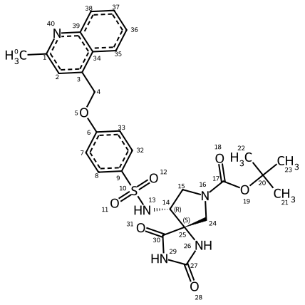 Cc1cc(COc2ccc(S(=O)(=O)N[C@@H]3CN(C(=O)OC(C)(C)C)C[C@]34NC(=O)NC4=O)cc2)c2ccccc2n1